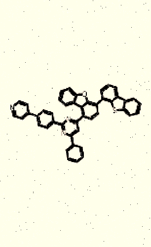 c1ccc(-c2cc(-c3ccc(-c4cccc5c4sc4ccccc45)c4oc5ccccc5c34)nc(-c3ccc(-c4ccncc4)cc3)n2)cc1